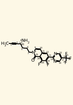 CC#C[C@H](N)CCCn1ccc2cc(-c3ncc(C(F)(F)F)cn3)c(F)c(F)c2c1=O